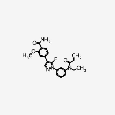 C=CC(=O)N(CC)c1cccc(-n2ncc(-c3ccc(C(N)=O)c(OC)c3)c2F)c1